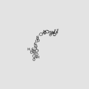 Cn1c(=O)n(C2CCC(=O)NC2=O)c2cccc(N3CCN(CC4COC5(C4)CN(C[C@H]4CC[C@H](n6cc7cc(NC(=O)c8cccc(C(F)(F)F)n8)ccc7n6)CC4)C5)CC3)c21